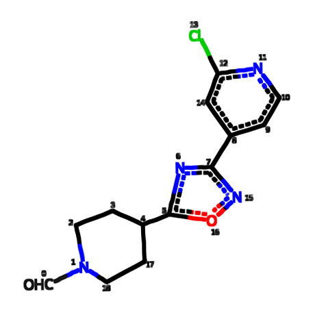 O=CN1CCC(c2nc(-c3ccnc(Cl)c3)no2)CC1